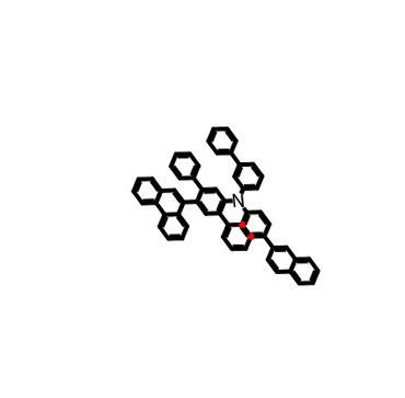 c1ccc(-c2cccc(N(c3ccc(-c4ccc5ccccc5c4)cc3)c3cc(-c4ccccc4)c(-c4cc5ccccc5c5ccccc45)cc3-c3ccccc3)c2)cc1